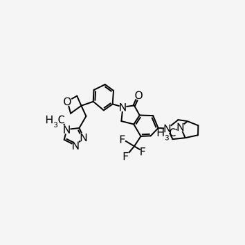 CN1C2CCC1CN(c1cc3c(c(C(F)(F)F)c1)CN(c1cccc(C4(Cc5nncn5C)COC4)c1)C3=O)C2